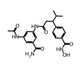 CC(=O)Nc1cc(NC(=O)CC(c2ccc(C(=O)NO)cc2)C(C)C)cc(C(N)=O)c1